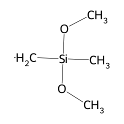 [CH2][Si](C)(OC)OC